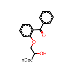 CCCCCCCCCCC(O)COc1ccccc1C(=O)c1ccccc1